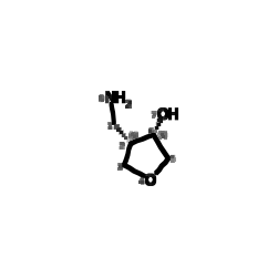 NC[C@H]1COC[C@H]1O